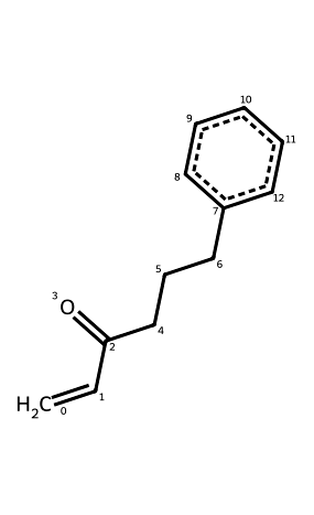 C=CC(=O)CCCc1ccccc1